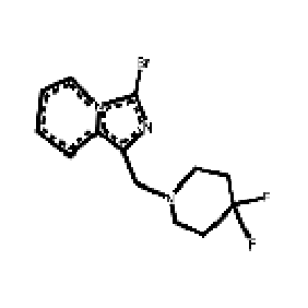 FC1(F)CCN(Cc2nc(Br)n3ccccc23)CC1